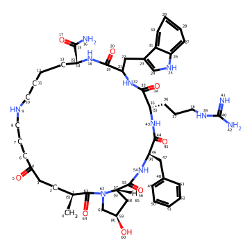 C[C@H]1CCC(=O)CCCNCCCC[C@@H](C(N)=O)NC(=O)C(Cc2c[nH]c3ccccc23)NC(=O)[C@H](CCCNC(=N)N)NC(=O)[C@@H](Cc2ccccc2)NC(=O)[C@@H]2C[C@@H](O)CN2C1=O